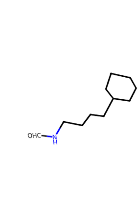 O=CNCCCCC1CCCCC1